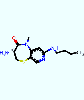 CN1C(=O)[C@@H](N)CSc2cnc(NCCCC(F)(F)F)cc21